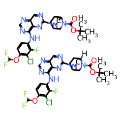 CC(C)(C)OC(=O)N1CC2CCC1CN2c1ncc2ncnc(Nc3ccc(OC(F)F)c(Cl)c3F)c2n1.CC(C)(C)OC(=O)N1CC2CC[C@H]1CN2c1ncc2ncnc(Nc3ccc(OC(F)F)c(Cl)c3F)c2n1